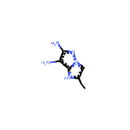 Cc1cn2nc(N)c(N)c2[nH]1